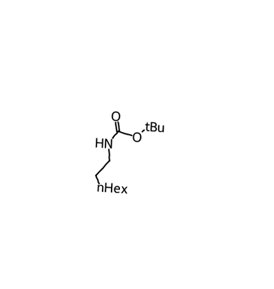 CCCCCCCCNC(=O)OC(C)(C)C